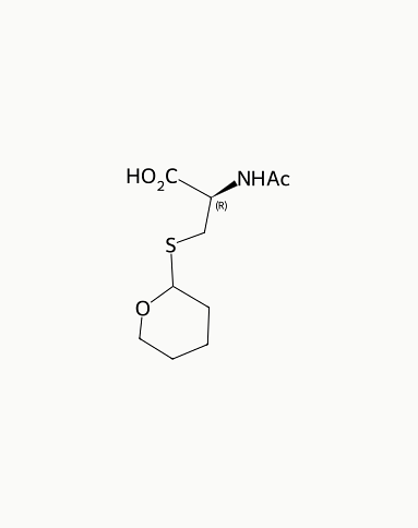 CC(=O)N[C@@H](CSC1CCCCO1)C(=O)O